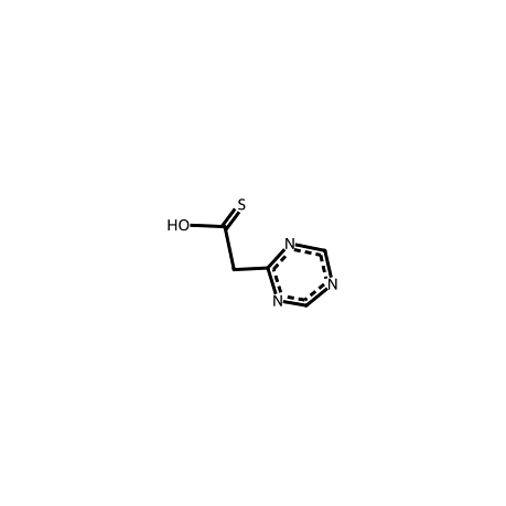 OC(=S)Cc1ncncn1